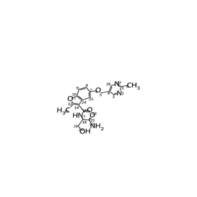 Cc1ncc(COc2ccc3oc(C)c(C(=O)NC(CO)C(N)=O)c3c2)cn1